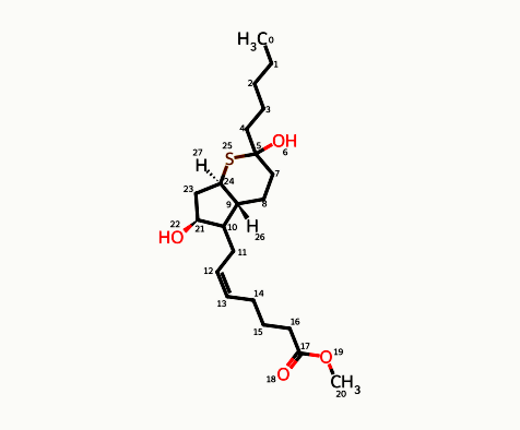 CCCCCC1(O)CC[C@@H]2C(C/C=C\CCCC(=O)OC)[C@@H](O)C[C@H]2S1